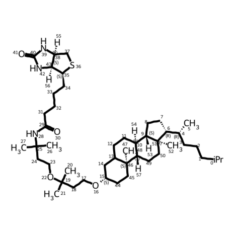 CC(C)CCC[C@@H](C)[C@H]1CC[C@H]2[C@@H]3CCC4C[C@@H](OCCC(C)(C)OCCC(C)(C)NC(=O)CCCC[C@@H]5SC[C@@H]6NC(=O)N[C@@H]65)CC[C@]4(C)[C@H]3CC[C@]12C